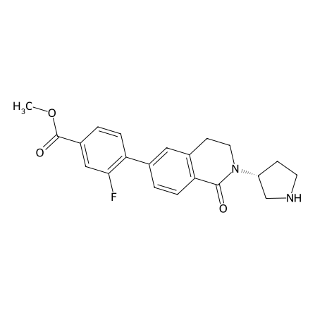 COC(=O)c1ccc(-c2ccc3c(c2)CCN([C@@H]2CCNC2)C3=O)c(F)c1